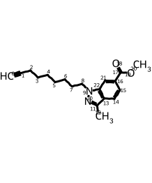 C#CCCCCCCCn1nc(C)c2ccc(C(=O)OC)cc21